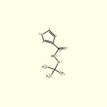 CC(C)(C)ONC(=O)c1ccoc1